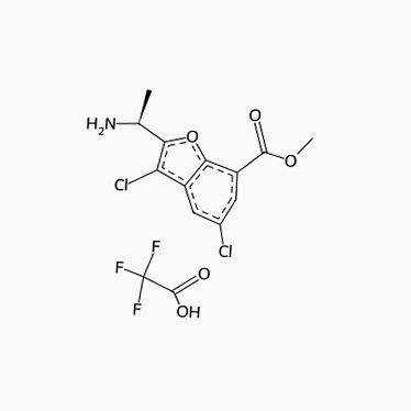 COC(=O)c1cc(Cl)cc2c(Cl)c([C@H](C)N)oc12.O=C(O)C(F)(F)F